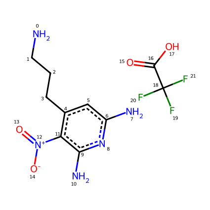 NCCCc1cc(N)nc(N)c1[N+](=O)[O-].O=C(O)C(F)(F)F